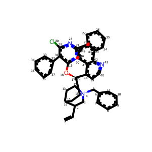 C=CC1C[N+]2(Cc3ccccc3)CCC1CC2[C@@H](Oc1nc(-c2ccccc2)nc(Cl)c1-c1ccccc1)c1ccnc2ccccc12